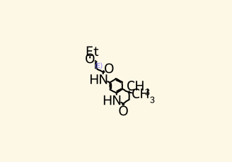 CCO/C=C/C(=O)Nc1ccc2c(c1)NC(=O)CC2(C)C